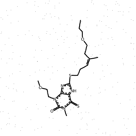 CCCOCC/C(C)=C\CCSc1nc2c([nH]1)c(=S)n(C)c(=O)n2CCOC